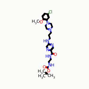 COc1ccc(Cl)cc1N1CCN(CCCNc2cnc(C(=O)NCCNC(=O)OC(C)(C)C)cn2)CC1